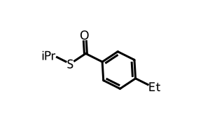 CCc1ccc(C(=O)SC(C)C)cc1